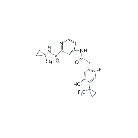 N#CC1(NC(=O)c2cc(NC(=O)Cc3cc(O)c(C4(C(F)(F)F)CC4)cc3F)ccn2)CC1